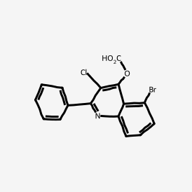 O=C(O)Oc1c(Cl)c(-c2ccccc2)nc2cccc(Br)c12